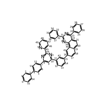 c1ccc(-c2ccc(-c3cc(-c4cccc(-c5ccc6ccc7c(-c8ccccc8)nc(-c8ccccc8)nc7c6c5)c4)nc(-c4ccccn4)n3)cc2)cc1